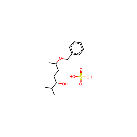 CC(CCC(O)C(C)C)OCc1ccccc1.O=S(=O)(O)O